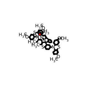 C=C/C(=C\C1=C(C)Sc2ccc(N3c4ccc(OC)cc4Sc4cc(OC)ccc43)cc2C12c1ccccc1-c1cc(C(C)(C)C)nn12)N1c2ccc(OC)cc2Sc2cc(OC)ccc21